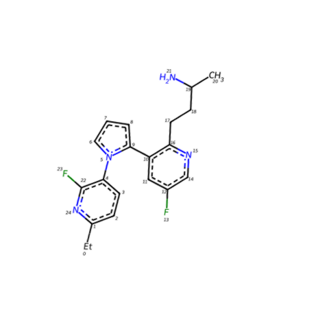 CCc1ccc(-n2cccc2-c2cc(F)cnc2CCC(C)N)c(F)n1